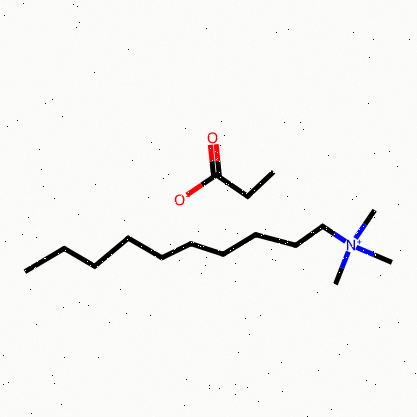 CCC(=O)[O-].CCCCCCCCCC[N+](C)(C)C